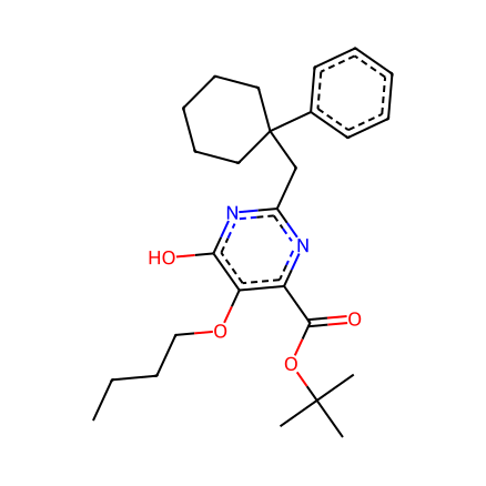 CCCCOc1c(O)nc(CC2(c3ccccc3)CCCCC2)nc1C(=O)OC(C)(C)C